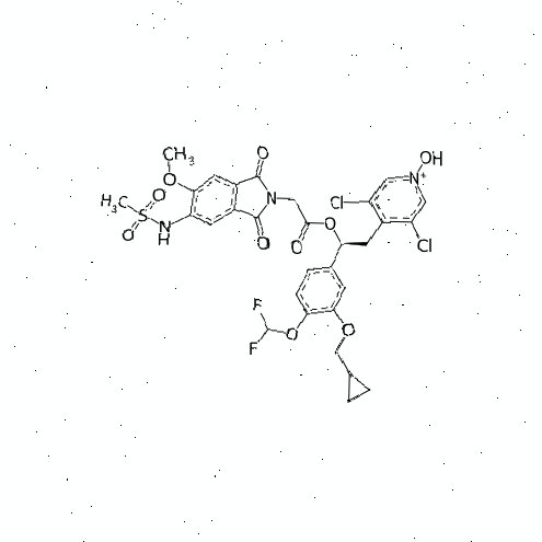 COc1cc2c(cc1NS(C)(=O)=O)C(=O)N(CC(=O)O[C@@H](Cc1c(Cl)c[n+](O)cc1Cl)c1ccc(OC(F)F)c(OCC3CC3)c1)C2=O